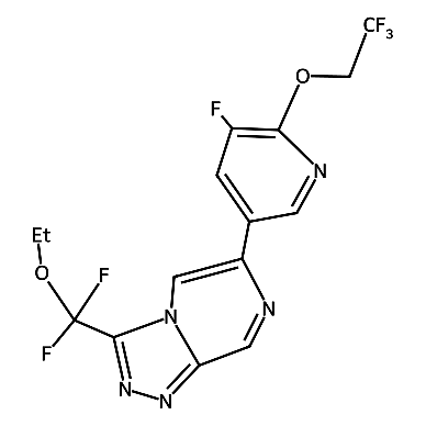 CCOC(F)(F)c1nnc2cnc(-c3cnc(OCC(F)(F)F)c(F)c3)cn12